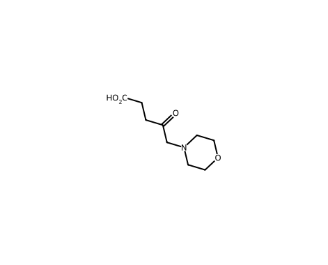 O=C(O)CCC(=O)CN1CCOCC1